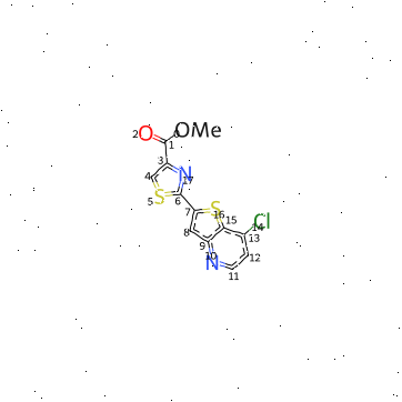 COC(=O)c1csc(-c2cc3nccc(Cl)c3s2)n1